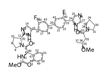 COC(=O)N[C@@H](C(=O)N1CCC[C@H]1c1ncc(-c2ccc(-c3ccc(-c4cnc([C@@H]5CCCN5C(=O)C[C@H](C)OC)[nH]4)c(F)c3)cc2F)[nH]1)c1ccccc1